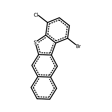 Clc1ccc(Br)c2c1sc1cc3ccccc3cc12